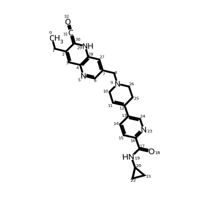 CCC1=Cc2ncc(CN3CC=C(c4ccc(C(=O)NC5CC5)nc4)CC3)cc2NC1=C=O